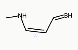 B=C/C=C\NC